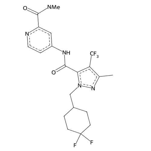 CNC(=O)c1cc(NC(=O)c2c(C(F)(F)F)c(C)nn2CC2CCC(F)(F)CC2)ccn1